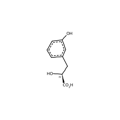 O=C(O)[C@@H](O)Cc1cccc(O)c1